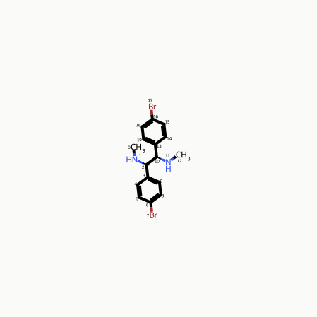 CN[C@H](c1ccc(Br)cc1)[C@H](NC)c1ccc(Br)cc1